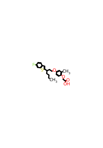 CCCCC(CCOc1ccc(OCC(=O)O)c(C)c1)c1cc2ccc(F)cc2s1